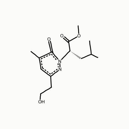 COC(=O)[C@H](CC(C)C)n1nc(CCO)cc(C)c1=O